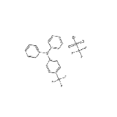 FC(F)(F)c1ccc([S+](c2ccccc2)c2ccccc2)cc1.O=S(=O)([O-])C(F)(F)F